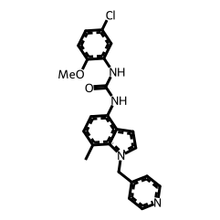 COc1ccc(Cl)cc1NC(=O)Nc1ccc(C)c2c1ccn2Cc1ccncc1